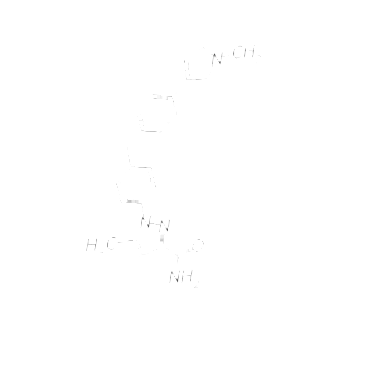 Cc1cc(C(N)=O)nn1-c1ccc(Cc2ccc(C3=CCN(C)C3)cc2)cc1